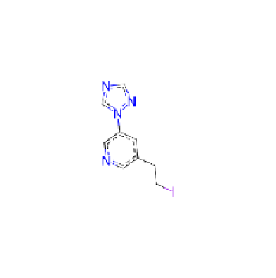 ICCc1cncc(-n2cncn2)c1